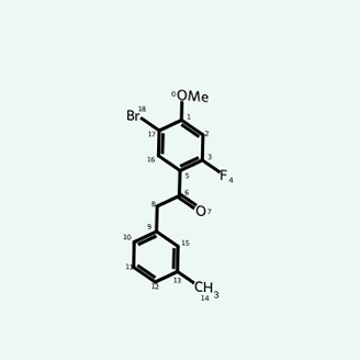 COc1cc(F)c(C(=O)Cc2cccc(C)c2)cc1Br